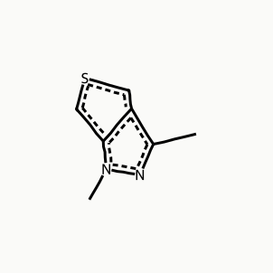 Cc1nn(C)c2cscc12